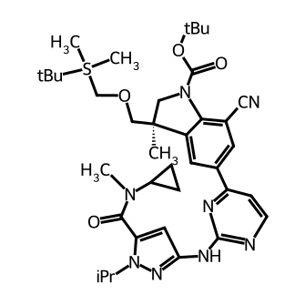 CC(C)n1nc(Nc2nccc(-c3cc(C#N)c4c(c3)[C@@](C)(COCS(C)(C)C(C)(C)C)CN4C(=O)OC(C)(C)C)n2)cc1C(=O)N(C)C1CC1